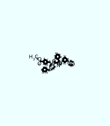 CCOC(=O)c1ccc(C[C@@H]2CN(Cc3ccccc3)CCN2C(=O)c2ncn(-c3cccc(N4CCOCC4)c3)c2-c2ccccc2)cc1